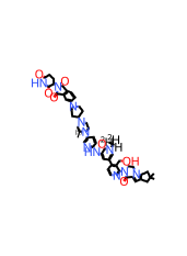 [2H]C([2H])([2H])n1cc(-c2ccnc(N3CCn4c(cc5c4CC(C)(C)C5)C3=O)c2CO)cc(Nc2ccc(N3CCN(C4CCN(c5ccc6c(c5)C(=O)N(C5CCC(=O)NC5=O)C6=O)CC4)C[C@@H]3C)cn2)c1=O